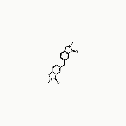 CN1Cc2ccc(CC3=CC4C(=O)N(C)CC4C=C3)cc2C1=O